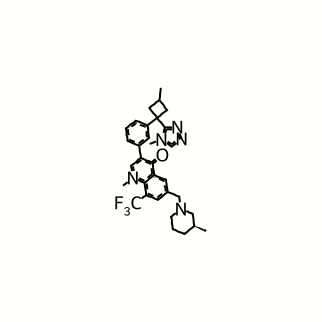 CC1CC(c2cccc(-c3cn(C)c4c(C(F)(F)F)cc(CN5CCC[C@H](C)C5)cc4c3=O)c2)(c2nncn2C)C1